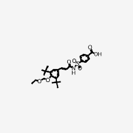 CCOCOc1c(C(C)(C)C)cc(/C=C/C(=O)NS(=O)(=O)c2ccc(C(=O)O)cc2)cc1C(C)(C)C